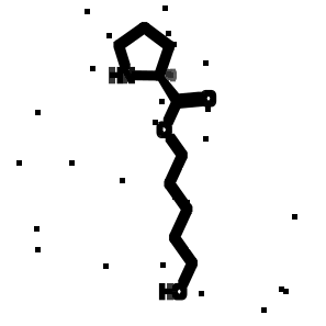 O=C(OCCCCCO)[C@@H]1CCCN1